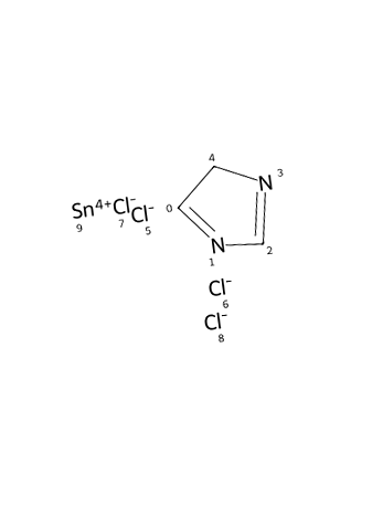 C1=NC=NC1.[Cl-].[Cl-].[Cl-].[Cl-].[Sn+4]